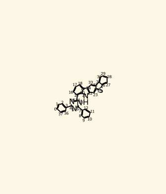 c1ccc(-c2nc(-c3ccccc3)nc(-c3cccc4c3[nH]c3cc5sc6ccccc6c5cc34)n2)cc1